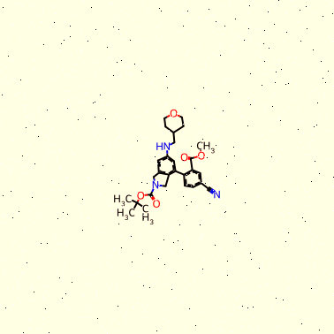 COC(=O)c1cc(C#N)ccc1-c1cc(NCC2CCOCC2)cc2c1CN(C(=O)OC(C)(C)C)C2